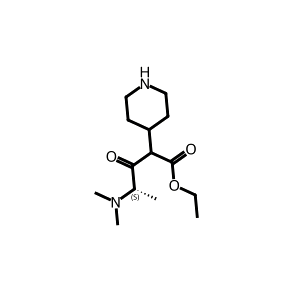 CCOC(=O)C(C(=O)[C@H](C)N(C)C)C1CCNCC1